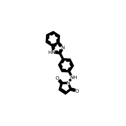 O=C1C=CC(=O)N1Nc1ccc(-c2nc3ccccc3[nH]2)cc1